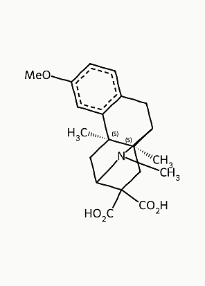 COc1ccc2c(c1)[C@]1(C)CC3N(C)C(C2)[C@@]1(C)CC3(C(=O)O)C(=O)O